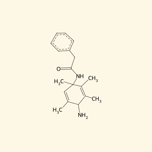 CC1=CC(C)(NC(=O)Cc2ccccc2)C(C)=C(C)C1N